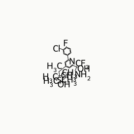 CC(C)(CC(C)(C)[Si](C)(C)O)c1cc(-c2ccc(F)c(Cl)c2)nc(C(O)(CN)C(F)(F)F)c1